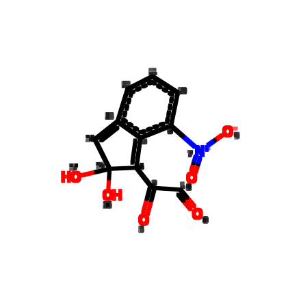 O=CC(=O)C1=c2c([N+](=O)[O-])cccc2=CC1(O)O